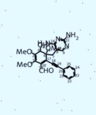 COC1=C(OC)C(O)C(Cc2cnc(N)nc2N)(OC)C(C#Cc2ccccc2)=C1C=O